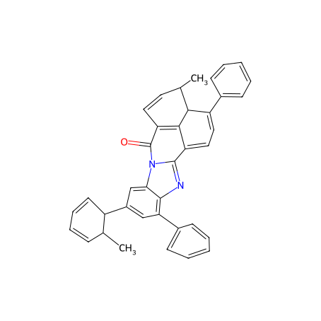 CC1C=CC=CC1c1cc(-c2ccccc2)c2nc3c4c5c(c(=O)n3c2c1)C=CC(C)C5C(c1ccccc1)=CC=4